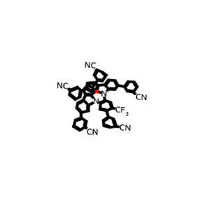 N#Cc1cccc(-c2ccc3c4ccc(-c5cccc(C#N)c5)cc4n(-c4cc(-c5cccc(C#N)c5)c(C(F)(F)F)cc4-n4c5cc(-c6cccc(C#N)c6)ccc5c5ccc(-c6cccc(C#N)c6)cc54)c3c2)c1